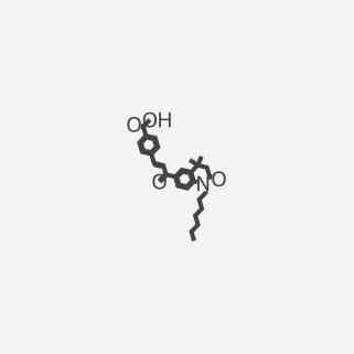 CCCCCCCN1C(=O)CC(C)(C)c2cc(C(=O)C=Cc3ccc(C(=O)O)cc3)ccc21